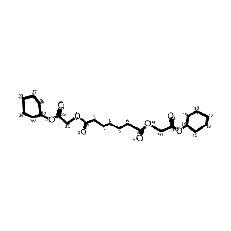 O=C(CCCCCC(=O)OCC(=O)OC1CCCCC1)OCC(=O)OC1CCCCC1